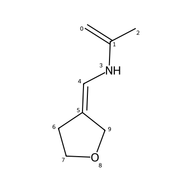 C=C(C)N/C=C1/CCOC1